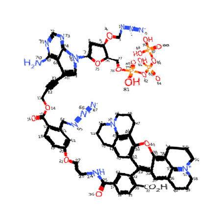 [N-]=[N+]=NCO[C@@H]1C[C@H](n2cc(C#CCOC(=O)c3ccc(OCCNC(=O)c4ccc(C(=O)O)c(C5=c6cc7c8c(c6Oc6c5cc5c9c6CCCN9CCC5)CCC[N+]=8CCC7)c4)cc3CN=[N+]=[N-])c3c(N)ncnc32)O[C@@H]1COP(=O)(O)OP(=O)(O)OP(=O)(O)O